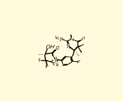 CN1C(=O)C(C)(C)[C@@](C)(c2cc(NC(=O)[C@](C)(O)C(F)(F)F)ccc2F)N=C1N